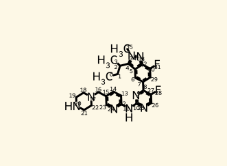 CCC(C)c1c2cc(-c3nc(Nc4ccc(CN5CCNCC5)cn4)ncc3F)cc(F)c2nn1C